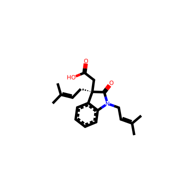 CC(C)=CCN1C(=O)[C@](CC=C(C)C)(CC(=O)O)c2ccccc21